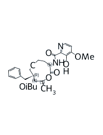 COc1ccnc(C(=O)N[C@H]2CCCC[C@H](Cc3ccccc3)[C@@H](OCC(C)C)[C@H](C)OC2=O)c1O